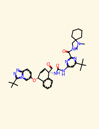 CN(C)C1(CNC(=O)c2nc(NC(=O)N[C@@]3(C=O)C=C[C@@H](Oc4ccc5nnc(C(C)(C)C)n5c4)c4ccccc43)cc(C(C)(C)C)n2)CCCCC1